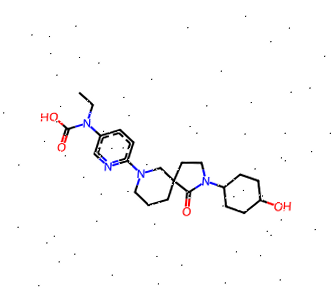 CCN(C(=O)O)c1ccc(N2CCCC3(CCN(C4CCC(O)CC4)C3=O)C2)nc1